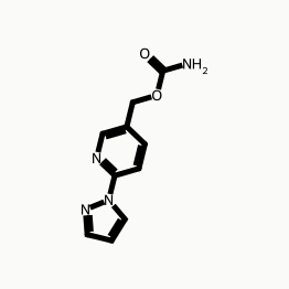 NC(=O)OCc1ccc(-n2cccn2)nc1